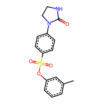 Cc1cccc(OS(=O)(=O)c2ccc(N3CCNC3=O)cc2)c1